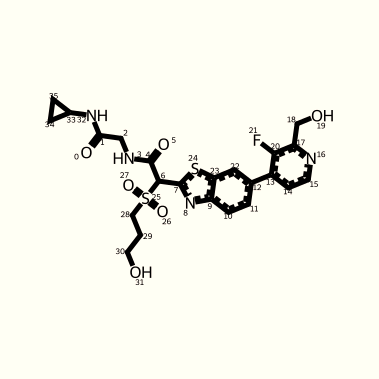 O=C(CNC(=O)C(c1nc2ccc(-c3ccnc(CO)c3F)cc2s1)S(=O)(=O)CCCO)NC1CC1